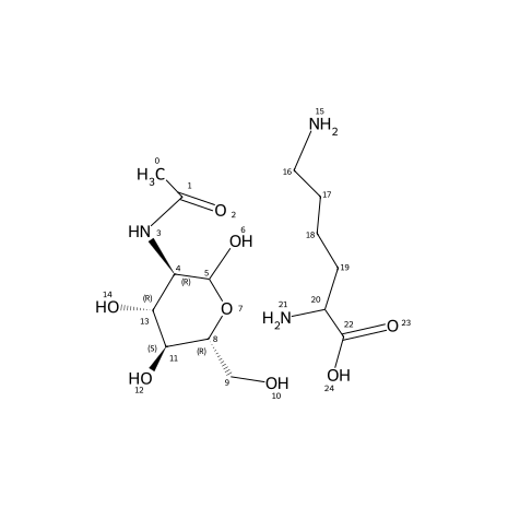 CC(=O)N[C@H]1C(O)O[C@H](CO)[C@@H](O)[C@@H]1O.NCCCCC(N)C(=O)O